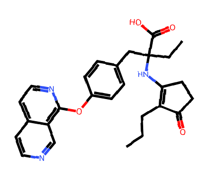 CCCC1=C(NC(CC)(Cc2ccc(Oc3nccc4ccncc34)cc2)C(=O)O)CCC1=O